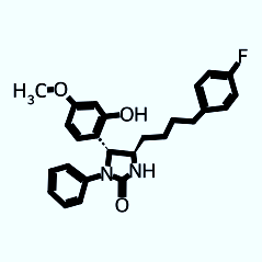 COc1ccc([C@@H]2[C@@H](CCCCc3ccc(F)cc3)NC(=O)N2c2ccccc2)c(O)c1